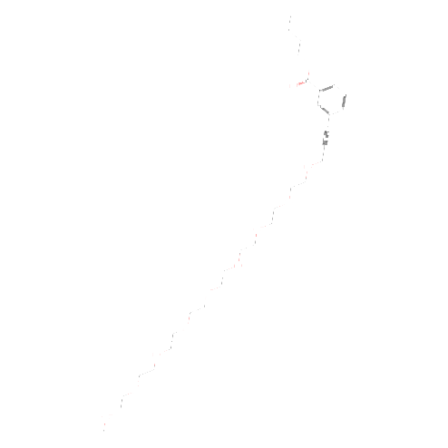 CCCCOC(=O)c1cccc(C#CCOCCOCCOCCOCCOCCOCCOCCOCCOC)c1